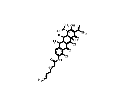 CC=CCNCC(=O)Nc1ccc2c(c1O)C(=O)C1=C(O)C3(O)C(=O)C(C(N)=O)=C(O)[C@@H](N(C)C)C3C(O)C1C2C